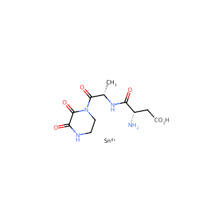 C[C@H](NC(=O)[C@@H](N)CC(=O)O)C(=O)N1CCNC(=O)C1=O.[Sn+4]